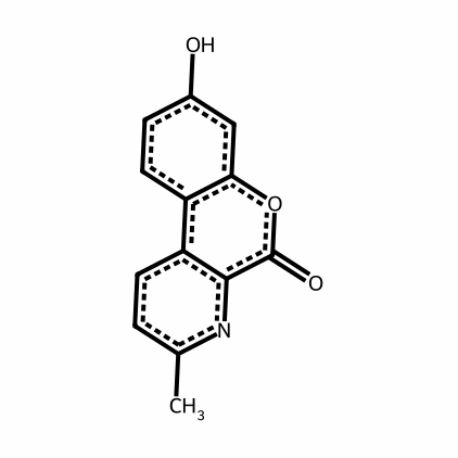 Cc1ccc2c(n1)c(=O)oc1cc(O)ccc12